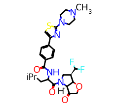 CC(C)CC(NC(=O)c1ccc(-c2csc(N3CCN(C)CC3)n2)cc1)C(=O)N1C[C@@H](C(F)F)C2OCC(=O)[C@H]21